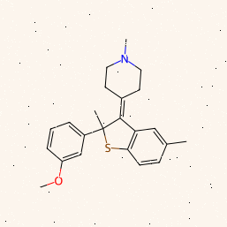 COc1cccc(C2(C)Sc3ccc(C)cc3C2=C2CCN(C)CC2)c1